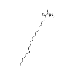 CCCCCCCCCCCCCCCCCCCC(=O)N(C)N